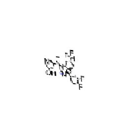 O=C(/N=C\N(Nc1cncc(O)c1)c1cccc(C(F)(F)F)c1)c1ccc(F)c(F)c1